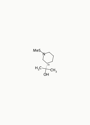 CSN1CCC[C@H](C(C)(C)O)C1